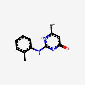 CCCc1cc(=O)nc(Nc2ccccc2C)[nH]1